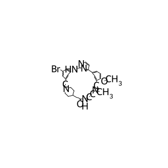 COc1ccc2cc1CN(C)CCNC(=O)C1CCN(CC1)Cc1cc(Br)cc(c1)Nc1nccc-2n1